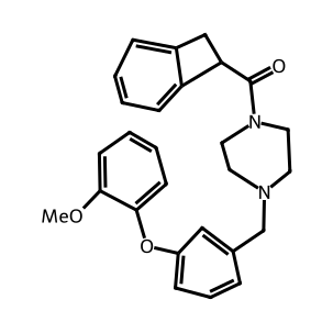 COc1ccccc1Oc1cccc(CN2CCN(C(=O)C3Cc4ccccc43)CC2)c1